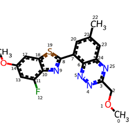 COCc1nnc2c(-c3nc4c(F)cc(OC)cc4s3)cc(C)cc2n1